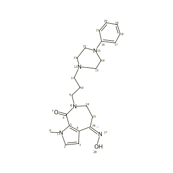 Cn1ccc2c1C(=O)N(CCCN1CCN(c3ccccc3)CC1)CC/C2=N/O